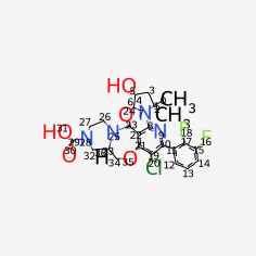 CC1(C)CC(O)CN1c1nc(-c2cccc(F)c2F)c(Cl)c2c1C(=O)N1CCN(C(=O)O)C[C@@H]1CO2